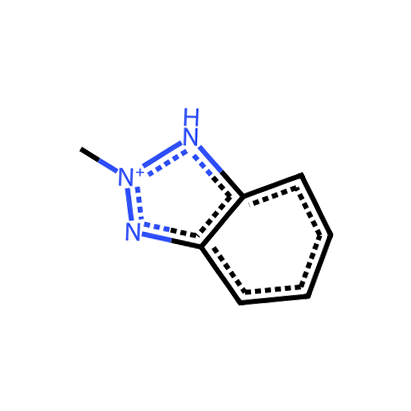 C[n+]1nc2ccccc2[nH]1